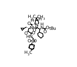 Cc1ccc(S(=O)(=O)CNC(=O)C(=O)[C@H](CC2CC2)NC(=O)[C@@H]2[C@@H]3[C@H](CN2C(=O)[C@@H](NC(=O)OC(C)(C)C)C2CCCCC2)C3(C)C)cc1